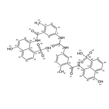 Cc1ccc(NC(=O)Nc2ccc(C)c(C(=O)Nc3ccc(O)c4cccc(S(=O)(=O)O)c34)c2)cc1C(=O)Nc1ccc(O)c2cccc(S(=O)(=O)O)c12